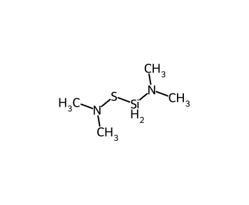 CN(C)[SiH2]SN(C)C